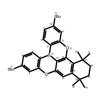 CC(C)(C)c1ccc2c(c1)Oc1cc3c(c4c1B2c1ccc(C(C)(C)C)cc1O4)C(C)(C)CCC3(C)C